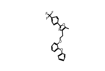 Cc1oc(-c2ccc(C(F)(F)F)cc2)nc1CCOc1ccccc1Oc1c[c]ccc1